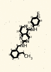 CCc1ccccc1CNc1ncc2c(Nc3ccc(F)cc3)nccc2n1